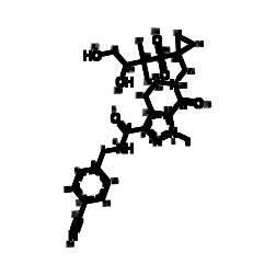 Cn1nc(C(=O)NCc2ccc(C#N)cc2)c2c1C(=O)N(CC1(S(=O)(=O)C(C)(C)C(O)CO)CC1)CC2